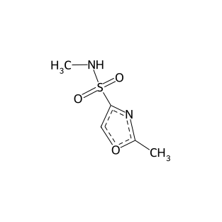 CNS(=O)(=O)c1coc(C)n1